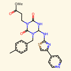 COC(=O)CCN1C(=O)NC(Nc2nc(-c3ccncc3)cs2)N(Cc2ccc(C)cc2)C1=O